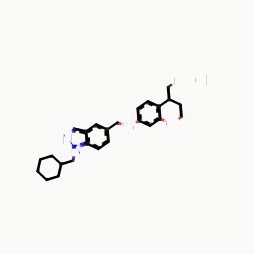 O=C(O)CC1CCOc2cc(OCc3ccc4c(cnn4CC4CCCCC4)c3)ccc21